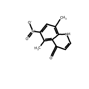 Cc1cc([N+](=O)[O-])c(C)c2c(=O)cc[nH]c12